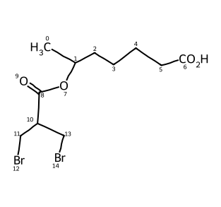 CC(CCCCC(=O)O)OC(=O)C(CBr)CBr